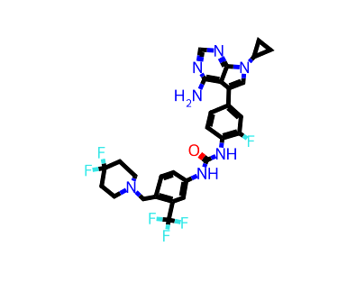 Nc1ncnc2c1c(-c1ccc(NC(=O)Nc3ccc(CN4CCC(F)(F)CC4)c(C(F)(F)F)c3)c(F)c1)cn2C1CC1